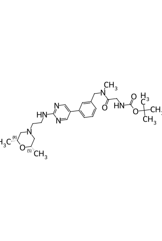 C[C@@H]1CN(CCNc2ncc(-c3cccc(CN(C)C(=O)CNC(=O)OC(C)(C)C)c3)cn2)C[C@H](C)O1